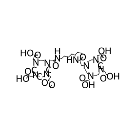 CCC(CCCCNC(=O)CN1CCN(CC(=O)O)CCN(CC(=O)O)CCN(CC(=O)OC)CC1)NC(=O)CN1CCN(CC(=O)O)CCN(CC(=O)O)CCN(CC(=O)O)CC1